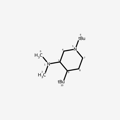 CN(C)C1CN(C(C)(C)C)CCC1C(C)(C)C